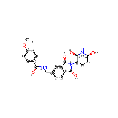 COc1ccc(C(=O)NCc2ccc3c(c2)C(=O)N(C2CCC(=O)NC2=O)C3=O)cc1